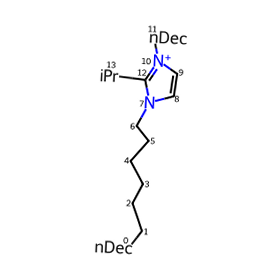 CCCCCCCCCCCCCCCCn1cc[n+](CCCCCCCCCC)c1C(C)C